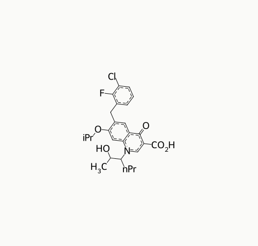 CCCC(C(C)O)n1cc(C(=O)O)c(=O)c2cc(Cc3cccc(Cl)c3F)c(OC(C)C)cc21